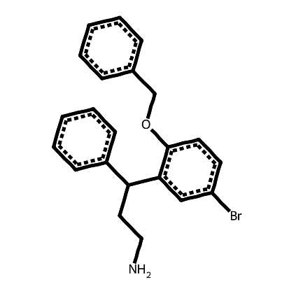 NCCC(c1ccccc1)c1cc(Br)ccc1OCc1ccccc1